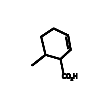 CC1CCC=CC1C(=O)O